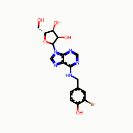 OC[C@H]1OC(n2cnc3c(NCc4ccc(O)c(Br)c4)ncnc32)[C@H](O)[C@@H]1O